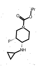 CC(C)OC(=O)N1CC[C@H](NC2CC2)[C@H](F)C1